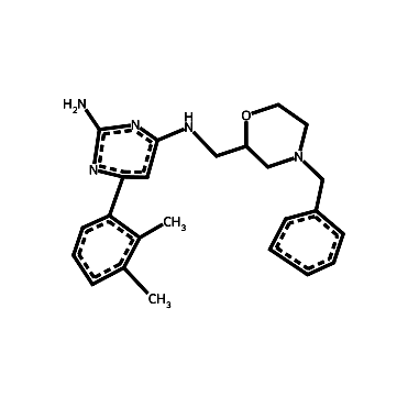 Cc1cccc(-c2cc(NCC3CN(Cc4ccccc4)CCO3)nc(N)n2)c1C